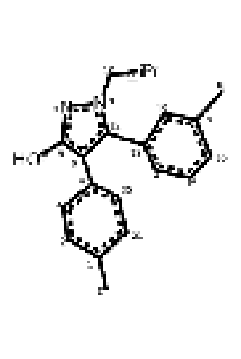 Cc1ccc(-c2c(O)nn(CC(C)C)c2-c2cccc(C)c2)cc1